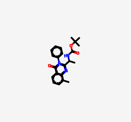 Cc1cccc2c(=O)n(-c3ccccc3)c(C(C)NC(=O)OC(C)(C)C)nc12